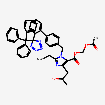 COCc1nc(CC(C)O)c(C(=O)OCOC(=O)C(C)(C)C)n1Cc1ccc(-c2ccccc2C2(C(c3ccccc3)(c3ccccc3)c3ccccc3)N=NN=N2)cc1